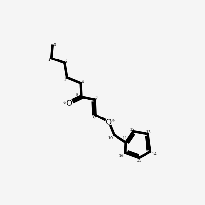 CCCCCC(=O)C=COCc1ccccc1